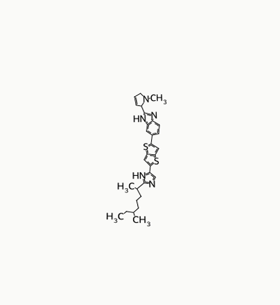 CCC(C)CCCC(C)c1ncc(-c2cc3sc(-c4ccc5nc(C6C=CCN6C)[nH]c5c4)cc3s2)[nH]1